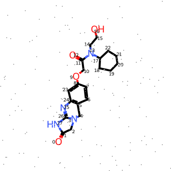 O=C1CN2Cc3ccc(OCC(=O)N(CCO)C4CCCCC4)cc3N=C2N1